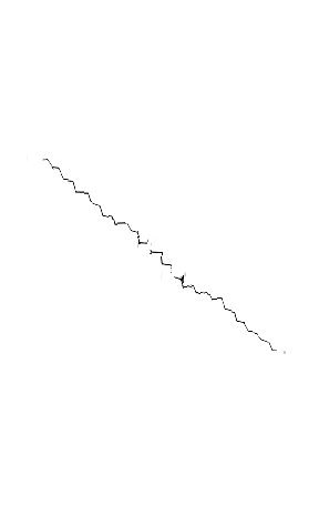 O=C(CCCCCCCCCCCCCCCO)NCCCCNC(=O)CCCCCCCCCCCCCCCO